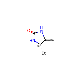 C=C1NC(=O)N[C@H]1CC